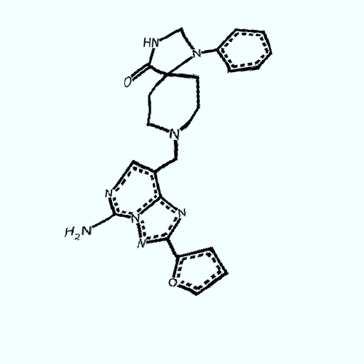 Nc1ncc(CN2CCC3(CC2)C(=O)NCN3c2ccccc2)c2nc(-c3ccco3)nn12